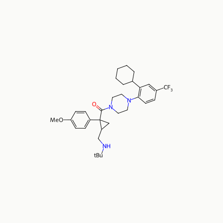 COc1ccc(C2(C(=O)N3CCN(c4ccc(C(F)(F)F)cc4C4CCCCC4)CC3)CC2CNC(C)(C)C)cc1